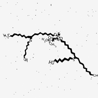 CCCCCCCCCC(CCCCCCCCOP(=O)(NCC[N+](C)(C)C)OCCCCCCCCC(CCCCCCCCC)SCCCCCCCO)SCCCCCCCO